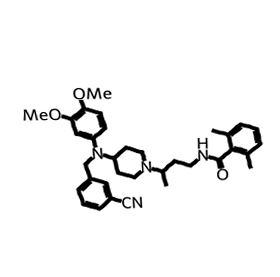 COc1ccc(N(Cc2cccc(C#N)c2)C2CCN(C(C)CCNC(=O)c3c(C)cccc3C)CC2)cc1OC